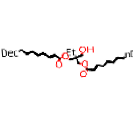 CCCCCCCCCCCCCCCC=CC(=O)OCC(CC)(CO)COC(=O)C=CCCCCCCCCCCCCCCC